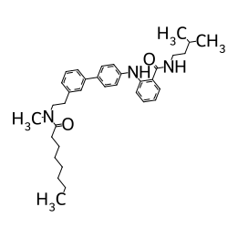 CCCCCCCC(=O)N(C)CCc1cccc(-c2ccc(Nc3ccccc3C(=O)NCCC(C)C)cc2)c1